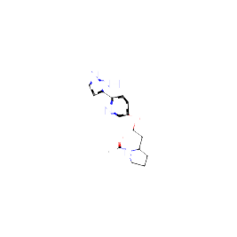 CC(=O)N1CCCC1CCOc1ccc(-c2ccn[nH]2)nc1